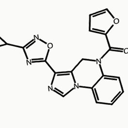 O=C(c1ccco1)N1Cc2c(-c3nc(C4CC4)no3)ncn2-c2ccccc21